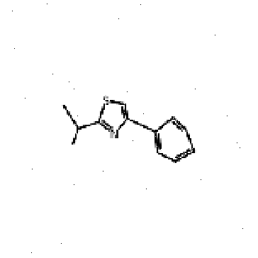 CC(C)c1nc(-c2ccccc2)cs1